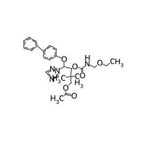 CCOCNC(=O)OC(C(Oc1ccc(-c2ccccc2)cc1)n1cncn1)C(C)(C)COC(C)=O